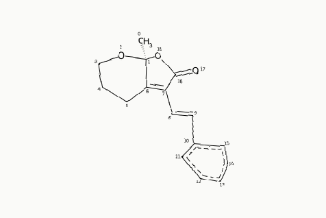 C[C@@]12OCCCC1=C(/C=C/c1ccccc1)C(=O)O2